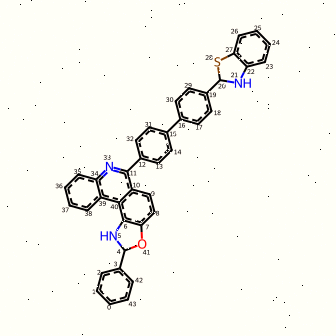 c1ccc(C2Nc3c(ccc4c(-c5ccc(-c6ccc(C7Nc8ccccc8S7)cc6)cc5)nc5ccccc5c34)O2)cc1